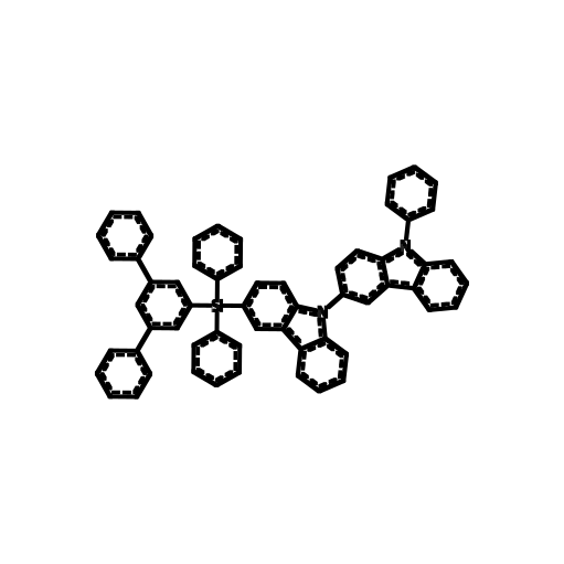 c1ccc(-c2cc(-c3ccccc3)cc([Si](c3ccccc3)(c3ccccc3)c3ccc4c(c3)c3ccccc3n4-c3ccc4c(c3)c3ccccc3n4-c3ccccc3)c2)cc1